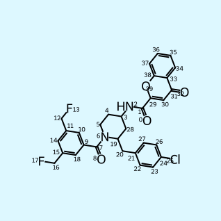 O=C(NC1CCN(C(=O)c2cc(CF)cc(CF)c2)C(Cc2ccc(Cl)cc2)C1)c1cc(=O)c2ccccc2o1